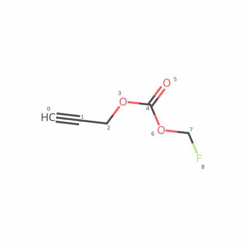 C#CCOC(=O)OCF